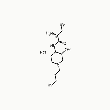 CC(C)CCCN1CCC(NC(=O)[C@@H](N)CC(C)C)C(O)C1.Cl